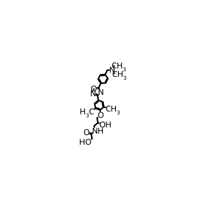 Cc1cc(-c2noc(-c3ccc(CN(C)C)cc3)n2)cc(C)c1OCC(O)CNC(=O)CO